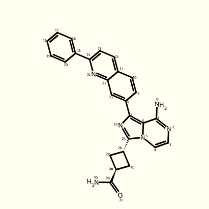 Nc1nccn2c1c(-c1ccc3ccc(-c4ccccc4)nc3c1)nc2[C@H]1C[C@H](C(N)=O)C1